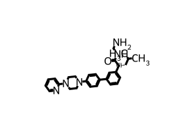 CC(C)C[C@@H](C(=O)NCN)c1cccc(-c2ccc(N3CCN(c4ccccn4)CC3)cc2)c1